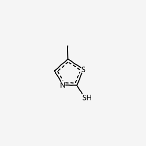 Cc1cnc(S)s1